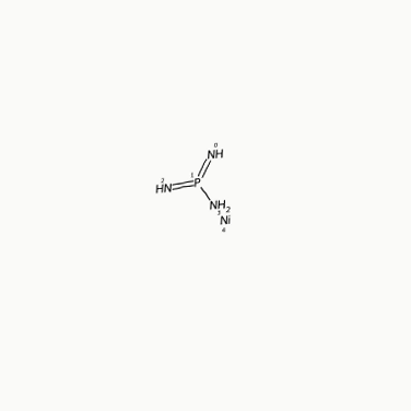 N=P(=N)N.[Ni]